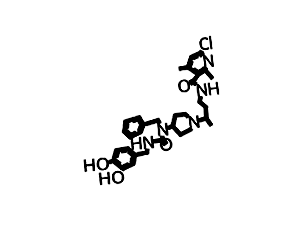 Cc1cc(Cl)nc(C)c1C(=O)NCCC(C)N1CCC(N(Cc2ccccc2)C(=O)NCc2ccc(O)c(O)c2)CC1